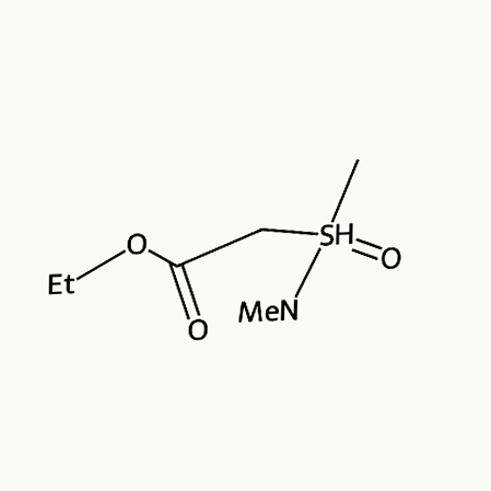 CCOC(=O)C[SH](C)(=O)NC